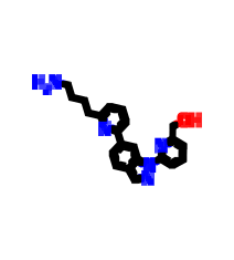 NCCCCc1cccc(-c2ccc3cnn(-c4cccc(CO)n4)c3c2)n1